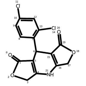 O=C1OCC2=C1C(c1ccc(Cl)cc1Cl)C1=C(COC1=O)N2